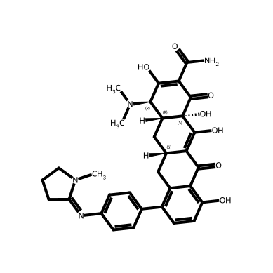 CN1CCCC1=Nc1ccc(-c2ccc(O)c3c2C[C@@H]2C[C@@H]4[C@@H](N(C)C)C(O)=C(C(N)=O)C(=O)[C@@]4(O)C(O)=C2C3=O)cc1